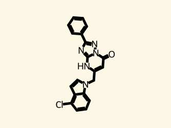 O=c1cc(Cn2ccc3c(Cl)cccc32)[nH]c2nc(-c3ccccc3)nn12